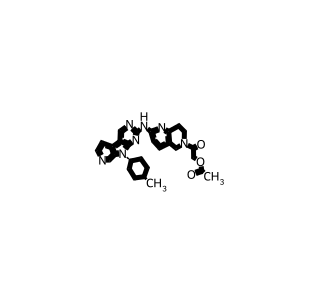 CC(=O)OCC(=O)N1CCc2nc(Nc3ncc4c5ccncc5n([C@H]5CC[C@H](C)CC5)c4n3)ccc2C1